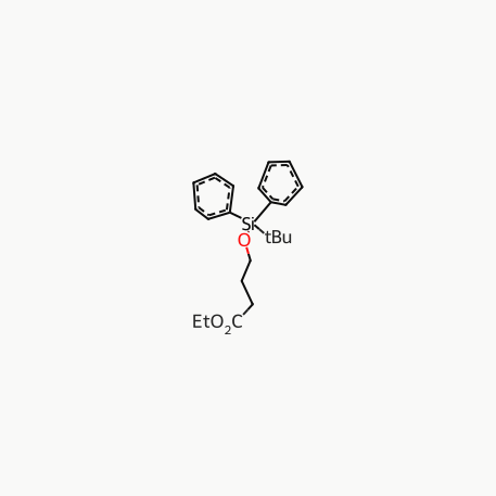 CCOC(=O)CCCO[Si](c1ccccc1)(c1ccccc1)C(C)(C)C